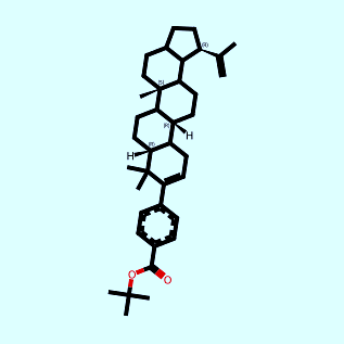 C=C(C)[C@@H]1CCC2CC[C@]3(C)C(CC[C@@H]4C5CC=C(c6ccc(C(=O)OC(C)(C)C)cc6)C(C)(C)[C@@H]5CCC43)C21